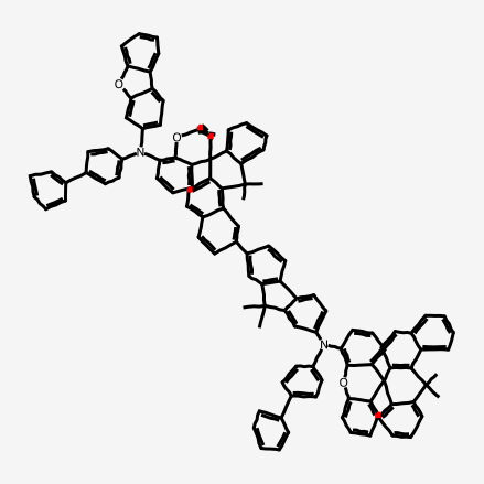 CC1(C)c2cc(-c3ccc4ccc5c(c4c3)C(C)(C)c3ccccc3C53c4ccccc4Oc4c(N(c5ccc(-c6ccccc6)cc5)c5ccc6c(c5)oc5ccccc56)cccc43)ccc2-c2ccc(N(c3ccc(-c4ccccc4)cc3)c3cccc4c3Oc3ccccc3C43c4ccccc4C(C)(C)c4c3ccc3ccccc43)cc21